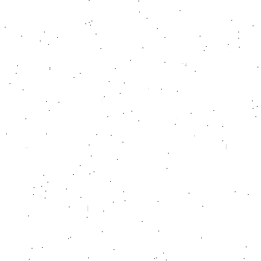 CC1(C)C(C=C(Br)Br)C1C(=O)OC(F)c1cc(F)c(F)c(F)c1F